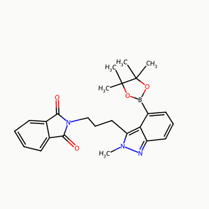 Cn1nc2cccc(B3OC(C)(C)C(C)(C)O3)c2c1CCCN1C(=O)c2ccccc2C1=O